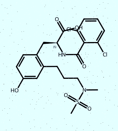 CN(CCCc1cc(O)ccc1C[C@H](NC(=O)c1c(Cl)cccc1Cl)C(=O)O)S(C)(=O)=O